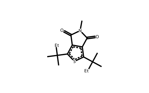 CCC(C)(C)c1sc(C(C)(C)CC)c2c1C(=O)N(C)C2=O